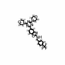 FC(F)(F)c1ccc(CNc2nc3cc(-c4nc(N5CCOCC5)nc(N5CCOCC5)n4)ccc3o2)cc1